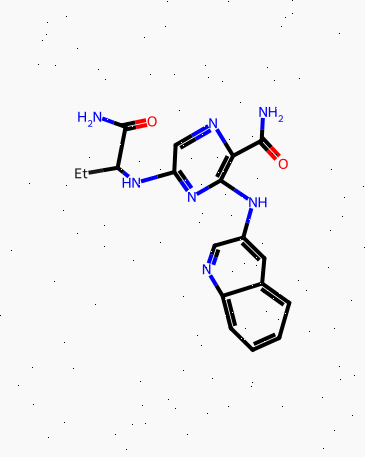 CCC(Nc1cnc(C(N)=O)c(Nc2cnc3ccccc3c2)n1)C(N)=O